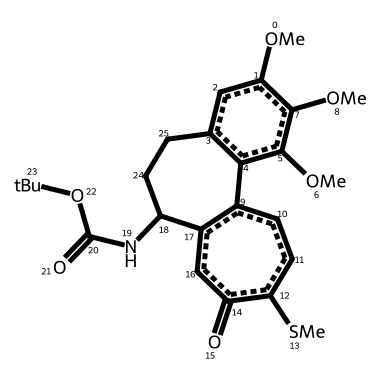 COc1cc2c(c(OC)c1OC)-c1ccc(SC)c(=O)cc1C(NC(=O)OC(C)(C)C)CC2